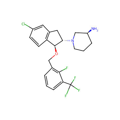 N[C@H]1CCCN([C@H]2Cc3cc(Cl)ccc3[C@@H]2OCc2cccc(C(F)(F)F)c2F)C1